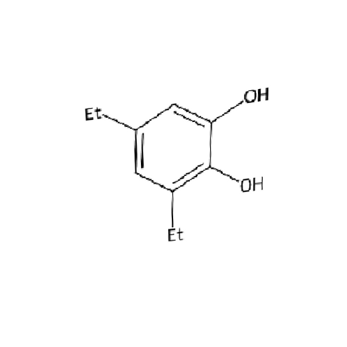 CCc1cc(O)c(O)c(CC)c1